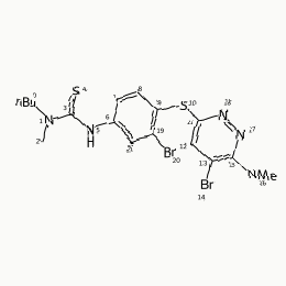 CCCCN(C)C(=S)Nc1ccc(Sc2cc(Br)c(NC)nn2)c(Br)c1